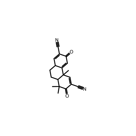 CC1(C)C(=O)C(C#N)=CC2(C)C3=CC(=O)C(C#N)=CC3CCC12